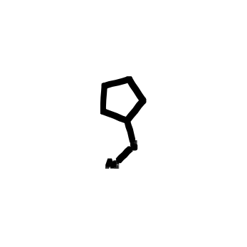 CC(=O)SC1CCCC1